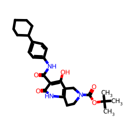 CC(C)(C)OC(=O)N1CCc2[nH]c(=O)c(C(=O)Nc3ccc(C4CCCCC4)cc3)c(O)c2C1